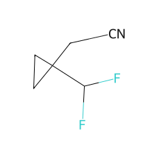 N#CCC1(C(F)F)CC1